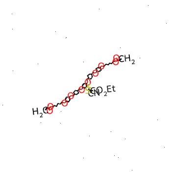 C=CC(=O)OCCCCCCOc1ccc(OCC2CCC(COc3ccc(OCC4CCC(COc5ccc(OCCCCCCOC(=O)C=C)cc5)CC4)c4c3SC(=C(C#N)C(=O)OCC)S4)CC2)cc1